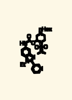 CCCCCCN1CCN(S(=O)(=O)N(C)C)C(OC(=O)Nc2ccc3c(c2)nc(-c2cccnc2)n3CC)C1